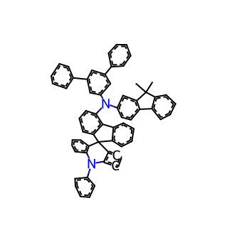 CC1(C)c2ccccc2-c2ccc(N(c3cc(-c4ccccc4)cc(-c4ccccc4)c3)c3cccc4c3-c3ccccc3C43c4ccccc4N(c4ccccc4)c4ccccc43)cc21